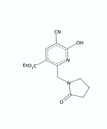 CCOC(=O)c1cc(C#N)c(O)nc1CN1CCCC1=O